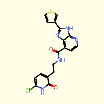 O=C(NCCc1ccc(Cl)[nH]c1=O)c1ccnc2[nH]c(-c3ccsc3)nc12